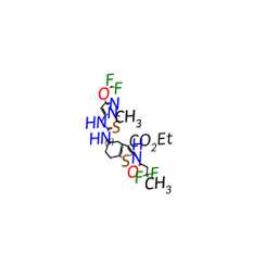 CCOC(=O)c1c(NC(=O)CC(C)(F)F)sc2c1C[C@@H](NC(=S)Nc1cc(OC(F)F)nn1C)CC2